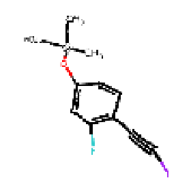 CCCC[Si](C)(C)Oc1ccc(C#CI)c(F)c1